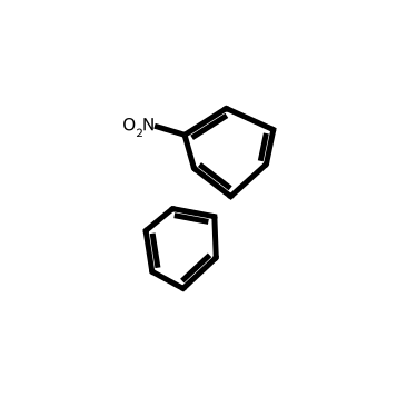 O=[N+]([O-])c1ccccc1.c1ccccc1